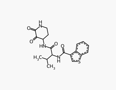 CC(C)C(NC(=O)c1csc2ccccc12)C(=O)NC1CCNC(=O)C1=O